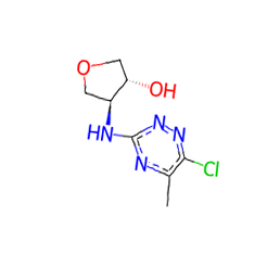 Cc1nc(N[C@H]2COC[C@@H]2O)nnc1Cl